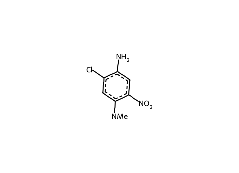 CNc1cc(Cl)c(N)cc1[N+](=O)[O-]